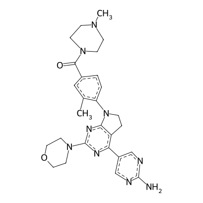 Cc1cc(C(=O)N2CCN(C)CC2)ccc1N1CCc2c(-c3cnc(N)nc3)nc(N3CCOCC3)nc21